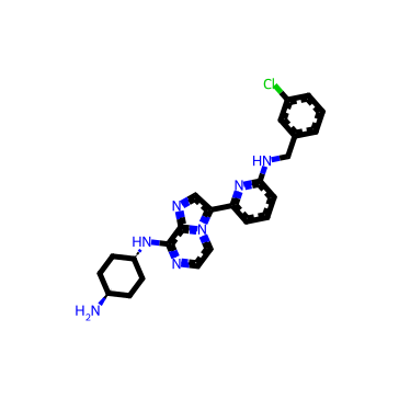 N[C@H]1CC[C@H](Nc2nccn3c(-c4cccc(NCc5cccc(Cl)c5)n4)cnc23)CC1